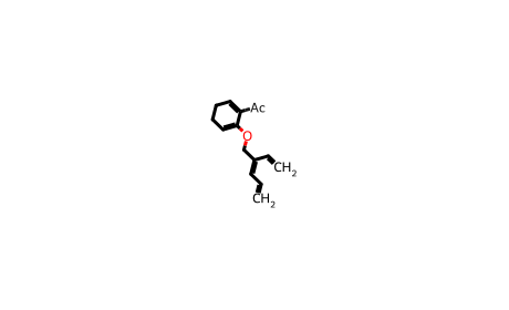 C=C/C=C(\C=C)COC1=CCCC=C1C(C)=O